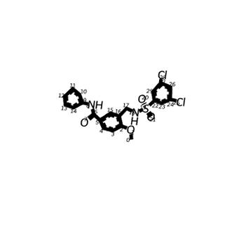 COc1ccc(C(=O)Nc2ccccc2)cc1CNS(=O)(=O)c1cc(Cl)cc(Cl)c1